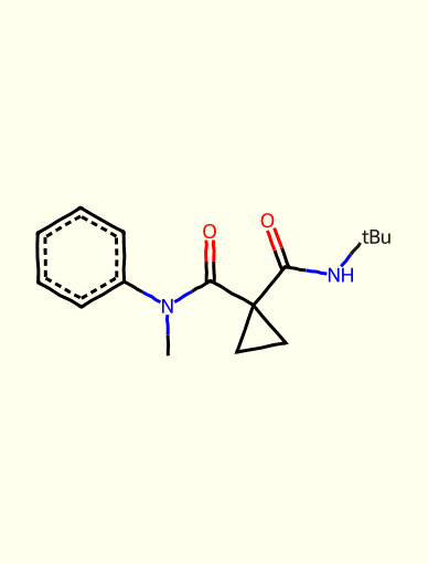 CN(C(=O)C1(C(=O)NC(C)(C)C)CC1)c1ccccc1